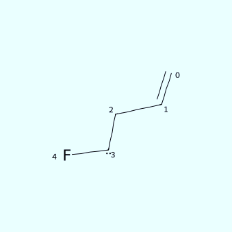 C=CC[C]F